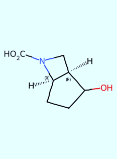 O=C(O)N1C[C@H]2C(O)CC[C@H]21